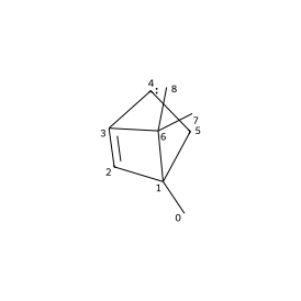 CC12C=C([C]C1)C2(C)C